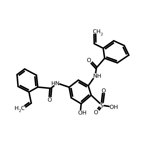 C=Cc1ccccc1C(=O)Nc1cc(O)c(S(=O)(=O)O)c(NC(=O)c2ccccc2C=C)c1